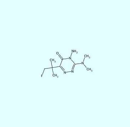 CN(C)c1nnc(C(C)(C)CF)c(=O)n1N